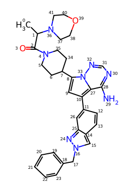 CC(C(=O)N1CCC(c2cc(-c3ccc4cn(Cc5ccccc5)nc4c3)c3c(N)ncnn23)CC1)N1CCOCC1